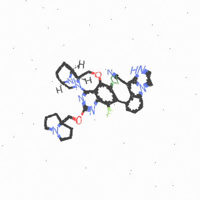 N#Cc1c2c(-c3c(Cl)c4c5c(nc(OCC67CCCN6CCC7)nc5c3F)N3C[C@H]5CC[C@H](N5)[C@H]3CO4)cccc2n2cc[nH]c12